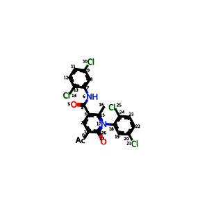 CC(=O)c1cc(C(=O)Nc2cc(Cl)ccc2Cl)c(C)n(-c2cc(Cl)ccc2Cl)c1=O